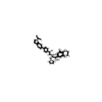 CC(C)n1ccc2ccc(-c3ccc(C(=O)C(=O)N[C@H](CN4CCCC4)[C@@H](O)c4cc(F)c5c(c4)OCCO5)cc3)cc21